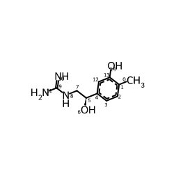 Cc1ccc([C@@H](O)CNC(=N)N)cc1O